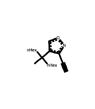 C#Cc1nocc1C(C)(CCCCCC)CCCCCC